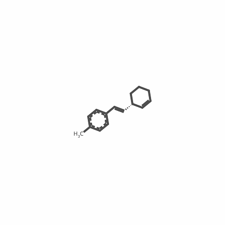 Cc1ccc(/C=C/[C@H]2C=CCCC2)cc1